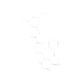 COc1cc(NC(=O)N2CCN(c3ncnc4[nH]cc(-c5ccccc5)c34)CC2)cc(OC)c1